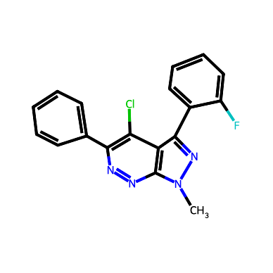 Cn1nc(-c2ccccc2F)c2c(Cl)c(-c3ccccc3)nnc21